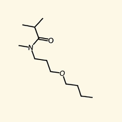 CCCCOCCCN(C)C(=O)C(C)C